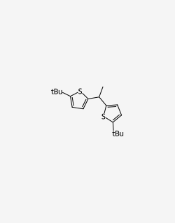 CC(c1ccc(C(C)(C)C)s1)c1ccc(C(C)(C)C)s1